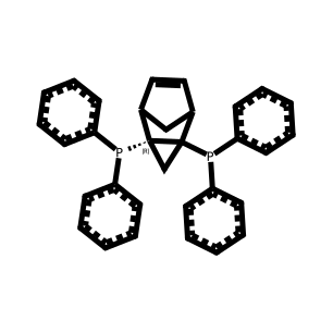 C1=CC2CC1C1(P(c3ccccc3)c3ccccc3)C[C@@]21P(c1ccccc1)c1ccccc1